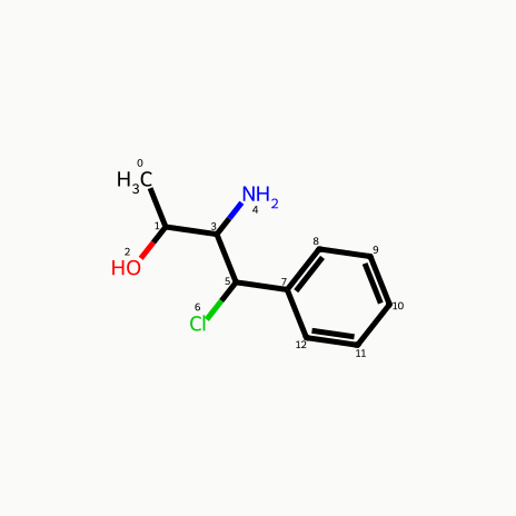 CC(O)C(N)C(Cl)c1ccccc1